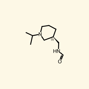 CC(C)N1CCC[C@@H](CNC=O)C1